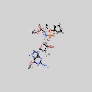 CCOc1nc(N)nc2c1ncn2[C@@H]1O[C@H](COP(=O)(N[C@@H](C)C(=O)OC(C)C)Oc2ccccc2)[C@@H](O)[C@H]1C#N